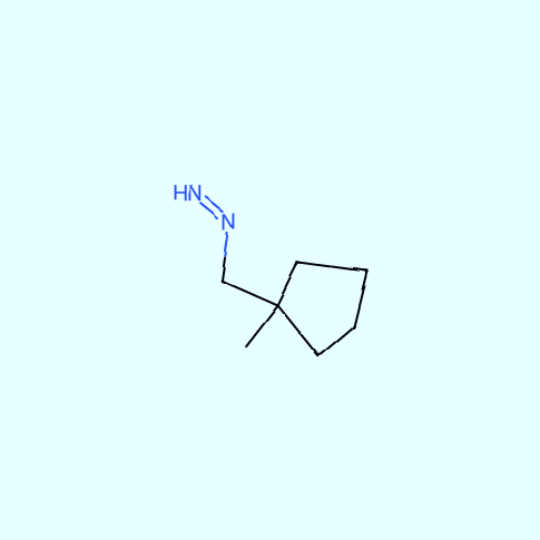 CC1(CN=N)CCCC1